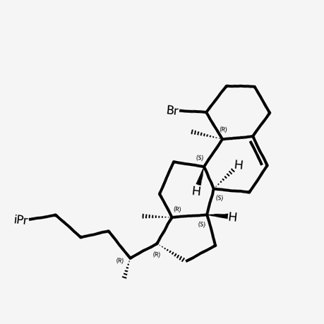 CC(C)CCC[C@@H](C)[C@H]1CC[C@H]2[C@@H]3CC=C4CCCC(Br)[C@]4(C)[C@H]3CC[C@]12C